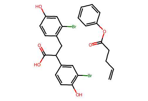 C=CCCC(=O)Oc1ccccc1.O=C(O)C(Cc1ccc(O)cc1Br)c1ccc(O)c(Br)c1